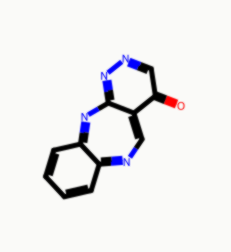 O=c1cnnc2nc3ccccc3ncc1-2